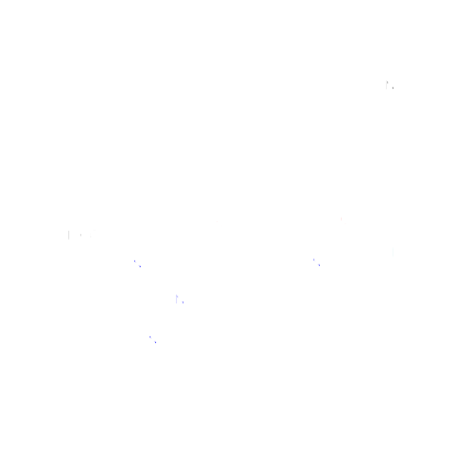 N#Cc1ccc(COc2nc(-c3ccc(Cc4nc5ccc(C(=O)O)nc5n4CC4CCO4)c(F)c3)ccc2F)c(F)c1